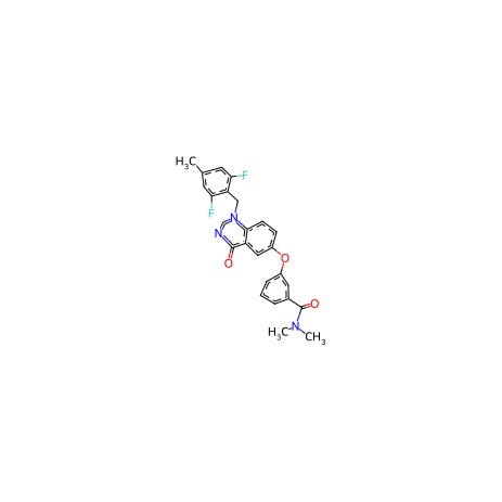 Cc1cc(F)c(Cn2cnc(=O)c3cc(Oc4cccc(C(=O)N(C)C)c4)ccc32)c(F)c1